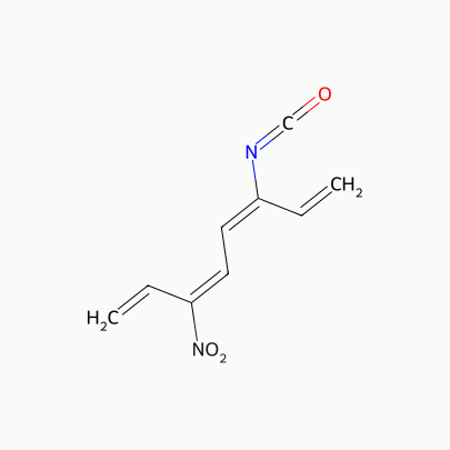 C=C/C(=C\C=C(/C=C)[N+](=O)[O-])N=C=O